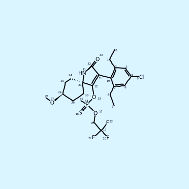 CCc1cc(Cl)cc(CC)c1C1=C(OP(C)(=S)OCC(F)(F)F)[C@]2(CC[C@H](OC)CC2)NC1=O